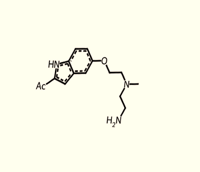 CC(=O)c1cc2cc(OCCN(C)CCN)ccc2[nH]1